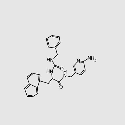 Nc1ccc(CNC(=O)C(Cc2cccc3ccccc23)NC(=O)NCc2ccccc2)cn1